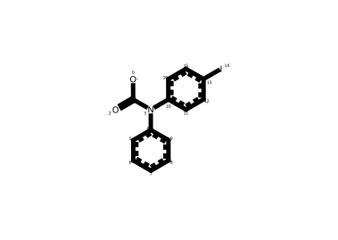 [O]C(=O)N(c1ccccc1)c1ccc(I)cc1